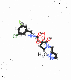 Cn1nccc1CN1CCC(O)(OC(=O)NCc2cc(F)cc(Cl)c2)C1=O